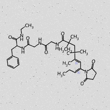 CC/C=C(\C=C(/C)C(C)(C)CC(C)(C)C(=O)NCC(=O)NCC(=O)NC(Cc1ccccc1)C(=O)NCC)N1C(=O)CCC1=O